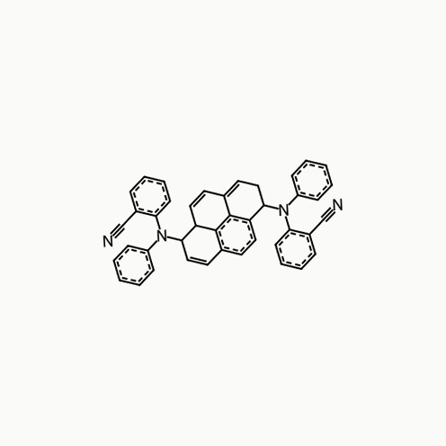 N#Cc1ccccc1N(c1ccccc1)C1CC=C2C=CC3c4c(ccc1c42)C=CC3N(c1ccccc1)c1ccccc1C#N